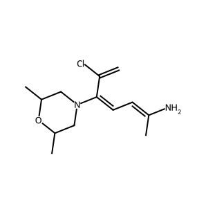 C=C(Cl)/C(=C\C=C(/C)N)N1CC(C)OC(C)C1